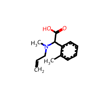 C=CCN(C)C(C(=O)O)c1ccccc1C